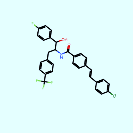 O=C(NC(Cc1ccc(C(F)(F)F)cc1)C(O)c1ccc(F)cc1)c1ccc(C=Cc2ccc(Cl)cc2)cc1